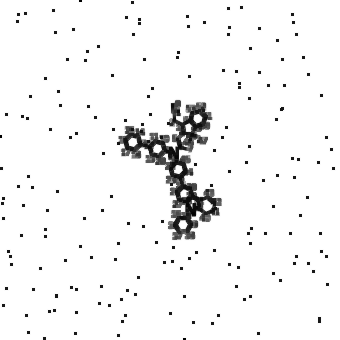 C#CCC1=C(/C=C(\C)N(c2ccc(-c3ccccc3)cc2)c2ccc(-c3ccc4c(c3)c3c(n4-c4ccccc4)CCC=C3)cc2)C(C)(C)c2ccccc21